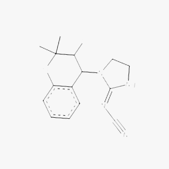 CC1(C)Oc2ccccc2C(N2CCNC2=NC#N)C1O